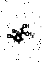 [CH2]C(CO)c1cccc(CC)c1Br